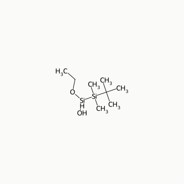 CCO[SiH](O)[Si](C)(C)C(C)(C)C